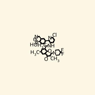 Cc1cc([C@@H](C)Nc2ccc(Cl)nc2-c2ccc3c(c2)C=NOB3O)c2oc(N3CCC(F)(F)CC3)c(C)c(=O)c2c1